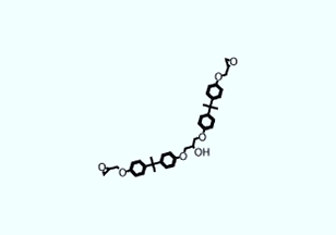 CC(C)(c1ccc(OCC(O)COc2ccc(C(C)(C)c3ccc(OCC4CO4)cc3)cc2)cc1)c1ccc(OCC2CO2)cc1